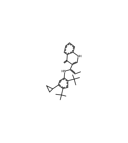 C=C1C(/C(=C\C)Nc2cc(C3CC3)c(C(C)(C)C)cc2C(C)(C)C)=CNc2ccccc21